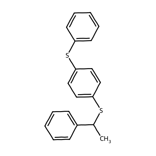 CC(Sc1ccc(Sc2ccccc2)cc1)c1ccccc1